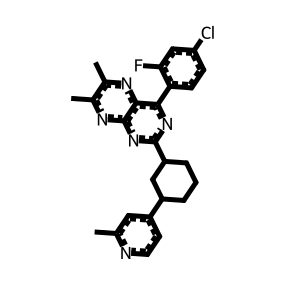 Cc1cc(C2CCCC(c3nc(-c4ccc(Cl)cc4F)c4nc(C)c(C)nc4n3)C2)ccn1